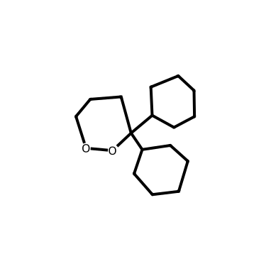 C1CCC(C2(C3CCCCC3)CCCOO2)CC1